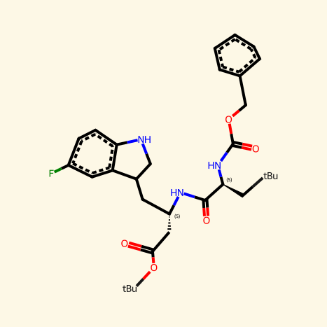 CC(C)(C)C[C@H](NC(=O)OCc1ccccc1)C(=O)N[C@H](CC(=O)OC(C)(C)C)CC1CNc2ccc(F)cc21